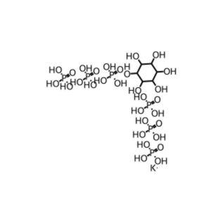 O=P(O)(O)O.O=P(O)(O)O.O=P(O)(O)O.O=P(O)(O)O.O=P(O)(O)O.O=P(O)(O)O.OC1C(O)C(O)C(O)C(O)C1O.[K]